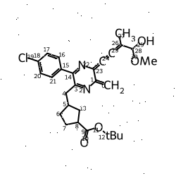 C=c1nc(CC2CCC(C(=O)OC(C)(C)C)C2)c(-c2ccc(Cl)cc2)nc1=C=C=C(C)C(O)OC